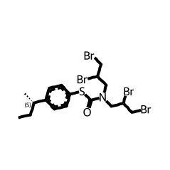 CC[C@H](C)c1ccc(SC(=O)N(CC(Br)CBr)CC(Br)CBr)cc1